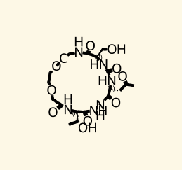 CC(=O)C[C@H]1NC(=O)N[C@H](CO)C(=O)NCCOCCOCC(=O)N[C@H](C(C)O)C(=O)NNC1=O